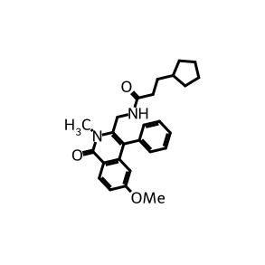 COc1ccc2c(=O)n(C)c(CNC(=O)CCC3CCCC3)c(-c3ccccc3)c2c1